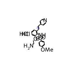 COc1ccc(S(=O)(=O)Nc2c(/C=C/c3ccncc3)cccc2OCCN)cc1.Cl.Cl